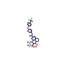 C[C@H](O)[C@H]1C(=O)N2CCCc3nc(NCc4ccc(Oc5ccc(C(F)(F)F)nc5)nc4)nc(c32)N1C